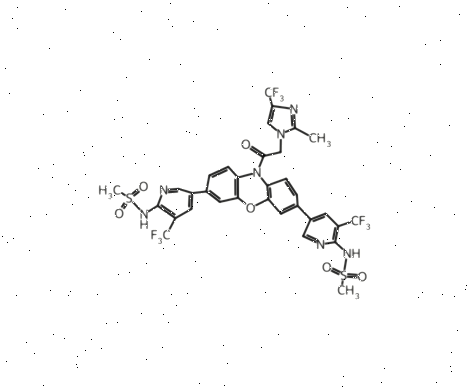 Cc1nc(C(F)(F)F)cn1CC(=O)N1c2ccc(-c3cnc(NS(C)(=O)=O)c(C(F)(F)F)c3)cc2Oc2cc(-c3cnc(NS(C)(=O)=O)c(C(F)(F)F)c3)ccc21